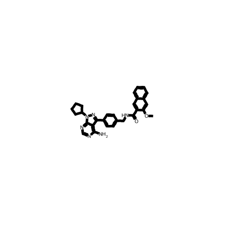 COc1cc2ccccc2cc1C(=O)NCc1ccc(-c2nn(C3CCCC3)c3ncnc(N)c23)cc1